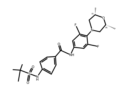 C[C@@H]1CN(c2c(F)cc(NC(=O)c3ccc(NS(=O)(=O)C(C)(C)C)cc3)cc2F)C[C@H](C)O1